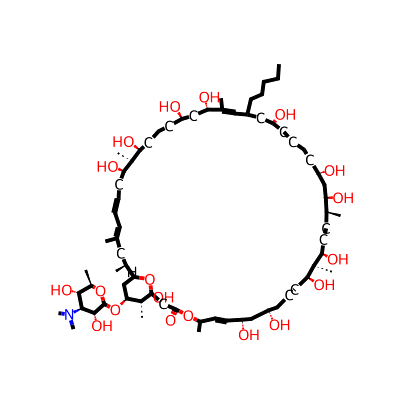 CCCCCC1/C=C(\C)[C@@H](O)C[C@H](O)CCC[C@H](O)[C@@H](C)[C@H](O)C/C=C/C=C(\C)C[C@H](C)[C@@H]2C[C@H](OC3O[C@H](C)[C@@H](O)[C@H](N(C)C)[C@H]3O)[C@@H](C)C(O)(CC(=O)OC(C)/C=C/[C@@H](O)C[C@@H](O)CCC[C@H](O)[C@@H](C)[C@H](O)CC[C@H](C)[C@H](O)C[C@@H](O)CCCCC(O)C1)O2